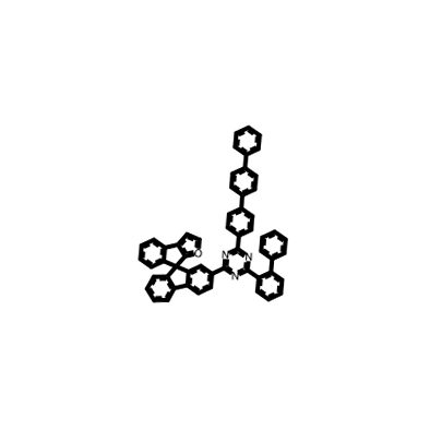 c1ccc(-c2ccc(-c3ccc(-c4nc(-c5ccc6c(c5)C5(c7ccccc7-6)c6ccccc6-c6ccoc65)nc(-c5ccccc5-c5ccccc5)n4)cc3)cc2)cc1